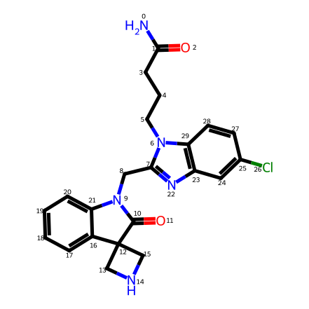 NC(=O)CCCn1c(CN2C(=O)C3(CNC3)c3ccccc32)nc2cc(Cl)ccc21